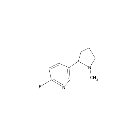 CN1CCCC1c1ccc(F)nc1